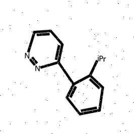 CC(C)c1ccccc1-c1cc[c]nn1